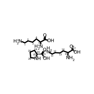 NCCCCC(N)C(=O)O.NCCCCC(N)C(=O)O.O=C(O)[C@@H]1CCCN1